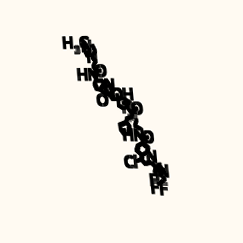 CN1CCN(CCC(=O)Nc2ccc3c(=O)n(CC4(O)CCN(C(=O)[C@H](CCCNC(=O)c5ccc6c(Cl)cc(-c7cnn(CC(F)(F)F)c7)nc6c5)Cc5ccccc5)CC4)cnc3c2)CC1